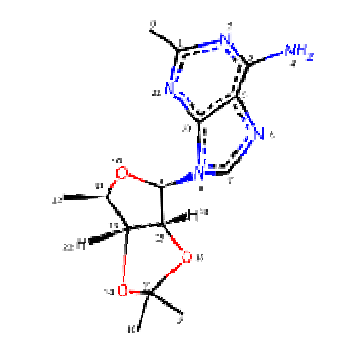 Cc1nc(N)c2ncn([C@@H]3O[C@H](C)[C@H]4OC(C)(C)O[C@H]43)c2n1